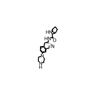 N#C[C@H](Cc1ccc(N2CCNCC2)cc1F)NC(=O)C1NC2CCC1C2